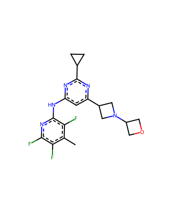 Cc1c(F)c(F)nc(Nc2cc(C3CN(C4COC4)C3)nc(C3CC3)n2)c1F